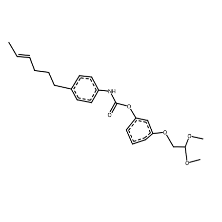 CC=CCCCc1ccc(NC(=O)Oc2cccc(OCC(OC)OC)c2)cc1